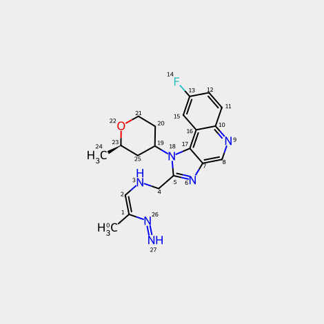 C/C(=C/NCc1nc2cnc3ccc(F)cc3c2n1C1CCO[C@H](C)C1)N=N